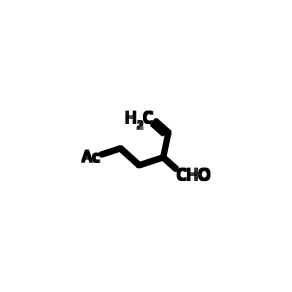 C=CC(C=O)CCC(C)=O